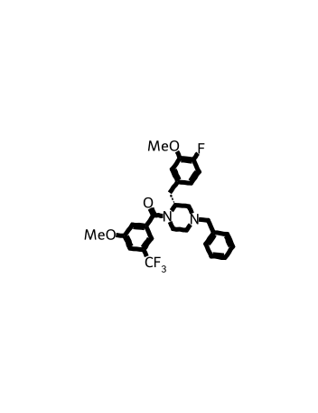 COc1cc(C(=O)N2CCN(Cc3ccccc3)C[C@H]2Cc2ccc(F)c(OC)c2)cc(C(F)(F)F)c1